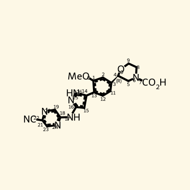 COc1cc([C@@H]2CN(C(=O)O)CCO2)ccc1-c1cc(Nc2cnc(C#N)cn2)n[nH]1